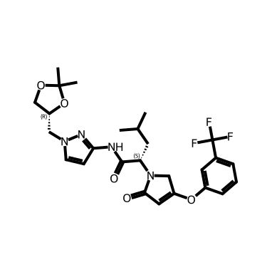 CC(C)C[C@@H](C(=O)Nc1ccn(C[C@@H]2COC(C)(C)O2)n1)N1CC(Oc2cccc(C(F)(F)F)c2)=CC1=O